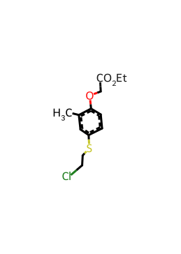 CCOC(=O)COc1ccc(SCCCl)cc1C